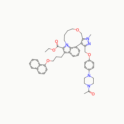 CCOC(=O)c1c(CCCOc2cccc3ccccc23)c2cccc3c2n1CCCCOCc1c-3c(COc2ccc(N3CCN(C(C)=O)CC3)cc2)nn1C